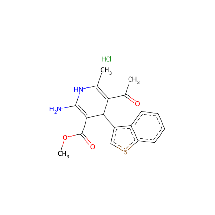 COC(=O)C1=C(N)NC(C)=C(C(C)=O)C1c1csc2ccccc12.Cl